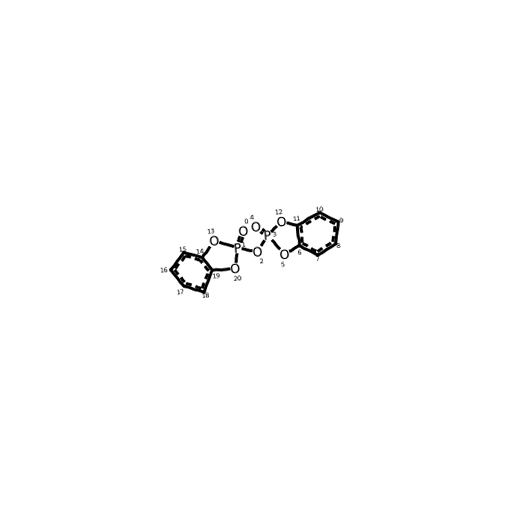 O=P1(OP2(=O)Oc3ccccc3O2)Oc2ccccc2O1